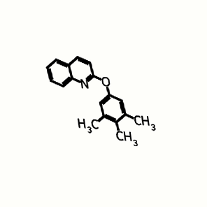 Cc1cc(Oc2ccc3ccccc3n2)cc(C)c1C